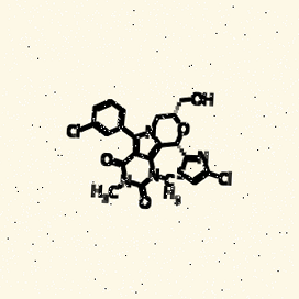 Cn1c(=O)c2c(-c3cccc(Cl)c3)n3c(c2n(C)c1=O)[C@@H](c1nc(Cl)cs1)O[C@@H](CO)C3